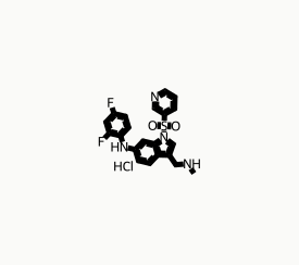 CNCc1cn(S(=O)(=O)c2cccnc2)c2cc(Nc3ccc(F)cc3F)ccc12.Cl